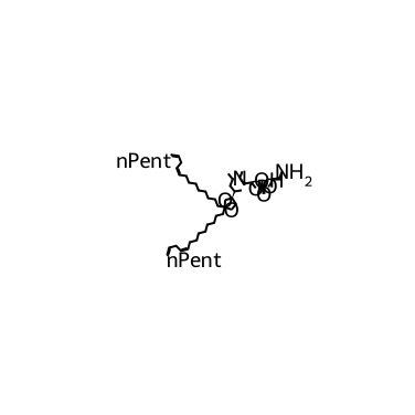 CCCCC/C=C\C/C=C\CCCCCCCCC1(CCCCCCCC/C=C\C/C=C\CCCCC)OC[C@H](C(C)CC(C)N(C)CCOP(=O)(O)OCCN)O1